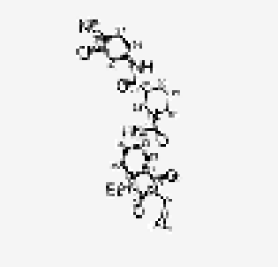 CCn1c(=O)n(CC2CC2)c(=O)c2cc(NC(=O)N3CCCC(C(=O)Nc4ccc(C#N)c(Cl)c4)C3)ccc21